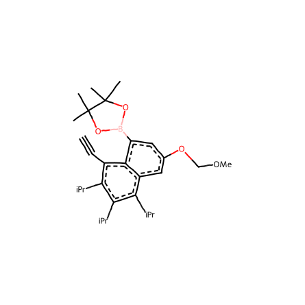 C#Cc1c(C(C)C)c(C(C)C)c(C(C)C)c2cc(OCOC)cc(B3OC(C)(C)C(C)(C)O3)c12